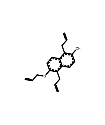 C=CCOc1ccc2c(CC=C)c(O)ccc2c1CC=C